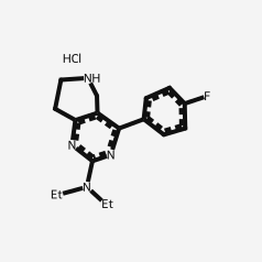 CCN(CC)c1nc2c(c(-c3ccc(F)cc3)n1)CNCC2.Cl